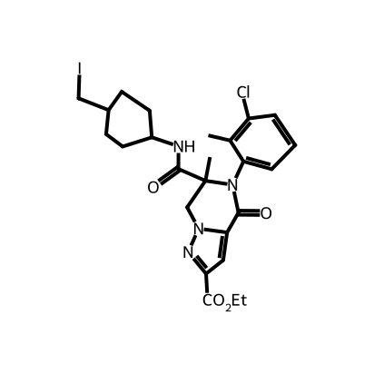 CCOC(=O)c1cc2n(n1)CC(C)(C(=O)NC1CCC(CI)CC1)N(c1cccc(Cl)c1C)C2=O